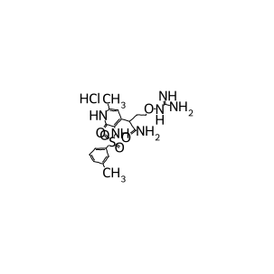 Cc1cccc(S(=O)(=O)Nc2c(C(CCONC(=N)N)C(N)=O)cc(C)[nH]c2=O)c1.Cl